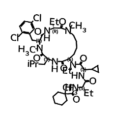 CC[C@H](NC(=O)C1(C(F)(F)F)CCCCC1)C(=O)N[C@H](C(=O)N(CC)[C@H]1CCCCN(C)C(=O)[C@@H](CC)NC(=O)[C@H](Cc2cc(Cl)ccc2Cl)N(C)C(=O)[C@H](CC(C)C)NC1=O)C1CC1